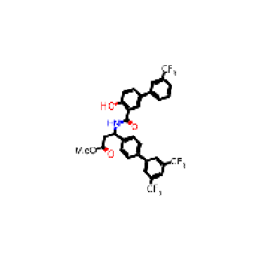 COC(=O)CC(NC(=O)c1cc(-c2cccc(C(F)(F)F)c2)ccc1O)c1ccc(-c2cc(C(F)(F)F)cc(C(F)(F)F)c2)cc1